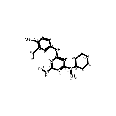 COc1ccc(Nc2nc(NC(C)C)nc(N(C)C3CCNCC3)n2)cc1CI